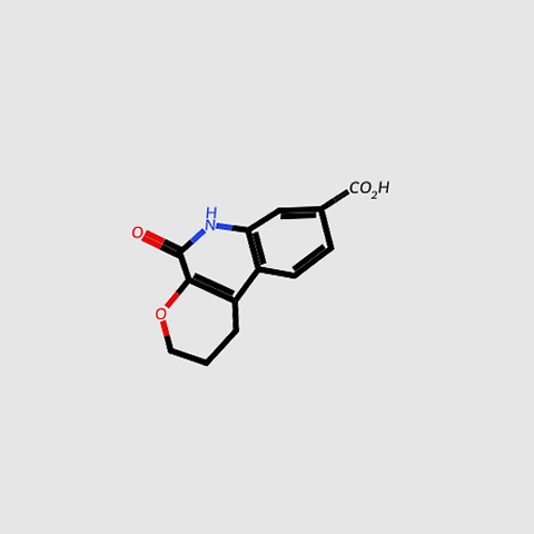 O=C(O)c1ccc2c3c(c(=O)[nH]c2c1)OCCC3